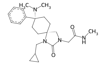 CNC(=O)CN1C[C@]2(CC[C@@](c3ccccc3)(N(C)C)CC2)N(CC2CC2)C1=O